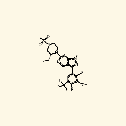 CC[C@@H]1CN(S(C)(=O)=O)CCN1c1ncc2c(-c3cc(C(F)(F)F)c(F)c(O)c3F)nn(C)c2n1